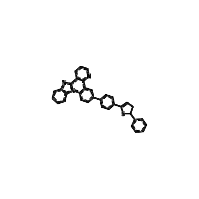 C1=C(c2ccc(-c3ccc4c(c3)c3ncccc3c3nc5ccccc5n43)cc2)SC(c2ccccc2)C1